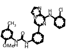 COc1ccc(C)cc1NC(=O)Nc1cccc(-c2cn3ccnc3c(Nc3ccccc3Cl)n2)c1